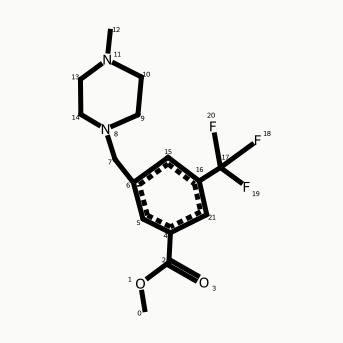 COC(=O)c1cc(CN2CCN(C)CC2)cc(C(F)(F)F)c1